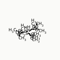 CCO[Si](CCCNC(NCCC[Si](OCC)(OCC)OCC)[SiH2]C=C[Si](C)(OC)OC)(OCC)OCC